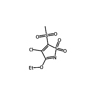 CCOC1=NS(=O)(=O)C(S(C)(=O)=O)=C1Cl